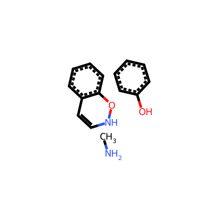 C1=Cc2ccccc2ON1.CN.Oc1ccccc1